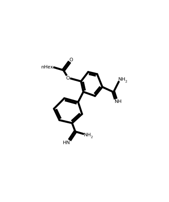 CCCCCCC(=O)Oc1ccc(C(=N)N)cc1-c1cccc(C(=N)N)c1